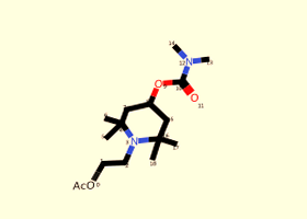 CC(=O)OCCN1C(C)(C)CC(OC(=O)N(C)C)CC1(C)C